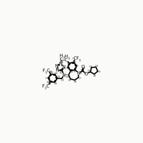 Cc1cc2c(cc1C(F)(F)F)N(C(=O)OC1CCCC1)CCC[C@@H]2N(Cc1cc(C(F)(F)F)cc(C(F)(F)F)c1)c1nnn(C)n1